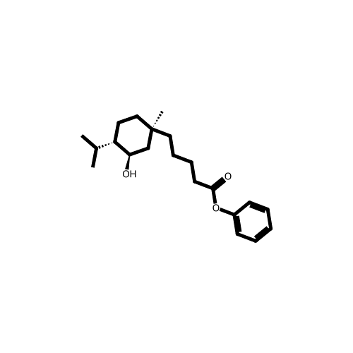 CC(C)[C@@H]1CC[C@@](C)(CCCCC(=O)Oc2ccccc2)C[C@H]1O